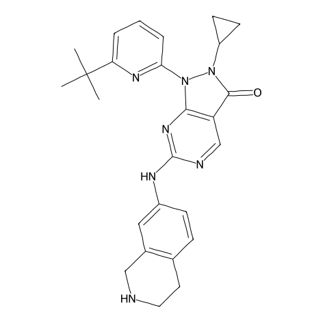 CC(C)(C)c1cccc(-n2c3nc(Nc4ccc5c(c4)CNCC5)ncc3c(=O)n2C2CC2)n1